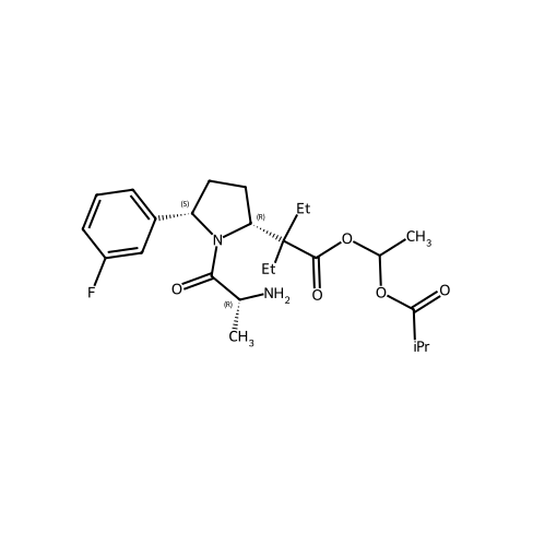 CCC(CC)(C(=O)OC(C)OC(=O)C(C)C)[C@H]1CC[C@@H](c2cccc(F)c2)N1C(=O)[C@@H](C)N